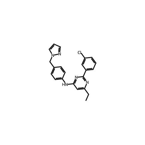 CCc1cc(Nc2ccc(Cn3cccn3)cc2)nc(-c2cccc(Cl)c2)n1